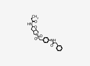 C=CC(=O)NC1CC2CN(S(=O)(=O)Cc3ccc(NC(=O)Cc4ccccc4)cc3)CC2O1